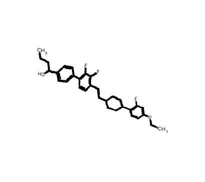 CCCC(O)c1ccc(-c2ccc(CCC3CCC(c4ccc(OCC)cc4F)CC3)c(F)c2F)cc1